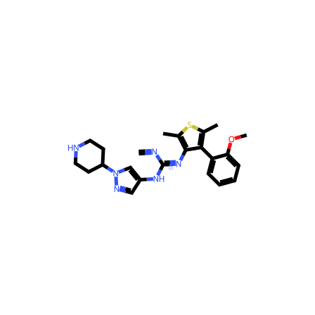 C=N/C(=N\c1c(C)sc(C)c1-c1ccccc1OC)Nc1cnn(C2CCNCC2)c1